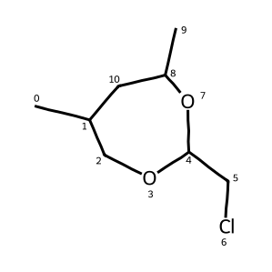 CC1COC(CCl)OC(C)C1